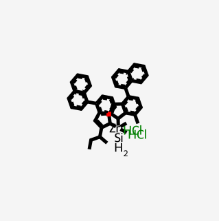 CCC(C)C1=Cc2c(-c3cccc4ccccc34)cccc2[CH]1[Zr]([CH3])([CH3])(=[SiH2])[CH]1C(C)=Cc2c(-c3cccc4ccccc34)ccc(C)c21.Cl.Cl